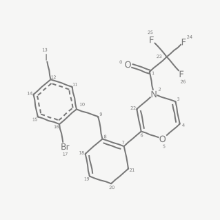 O=C(N1C=COC(C2=C(Cc3cc(I)ccc3Br)C=CCC2)=C1)C(F)(F)F